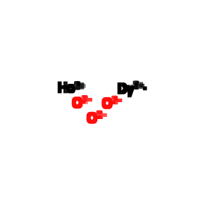 [Dy+3].[Ho+3].[O-2].[O-2].[O-2]